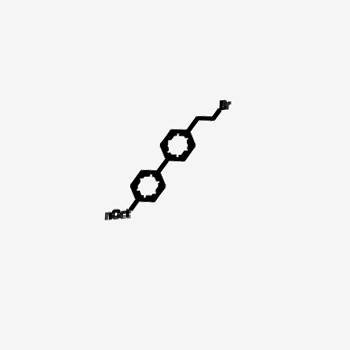 CCCCCCCCc1ccc(-c2ccc(CCBr)cc2)cc1